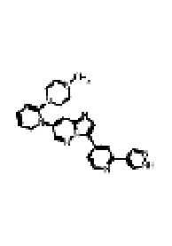 CN1CCN(C2=CC=CCN2c2cnn3c(-c4ccnc(-c5cn[nH]c5)c4)cnc3c2)CC1